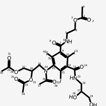 CC(=O)OCCNC(=O)c1c(I)c(C(=O)NCC(O)CO)c(I)c(N(CC(COC(C)=O)OC(C)=O)C(C)=O)c1I